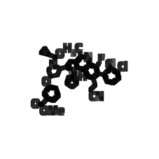 COC(=O)c1cccc(OC2CC(c3cc4c(C)nc5c(F)c(-c6cccc(Cl)c6Cl)c(CCC#N)cc5c4n3C3C4CNC3C4)N(C(=O)C3CC3)C2)c1